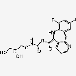 O=C(NOC[C@H](O)CO)Oc1oc2ccncc2c1Nc1c(F)cc(I)cc1F